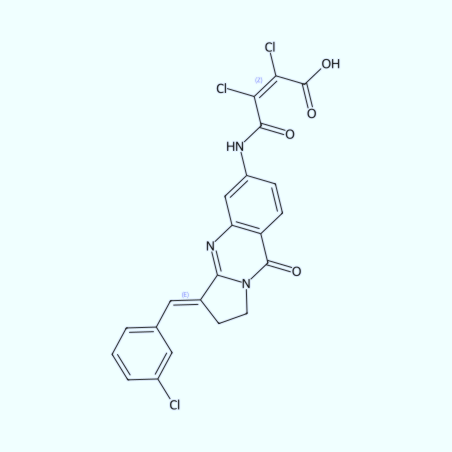 O=C(O)/C(Cl)=C(/Cl)C(=O)Nc1ccc2c(=O)n3c(nc2c1)/C(=C/c1cccc(Cl)c1)CC3